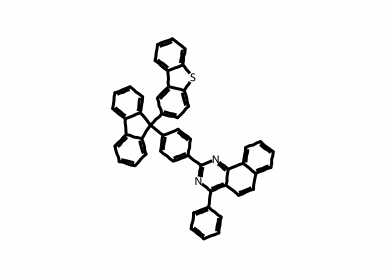 c1ccc(-c2nc(-c3ccc(C4(c5ccc6sc7ccccc7c6c5)c5ccccc5-c5ccccc54)cc3)nc3c2ccc2ccccc23)cc1